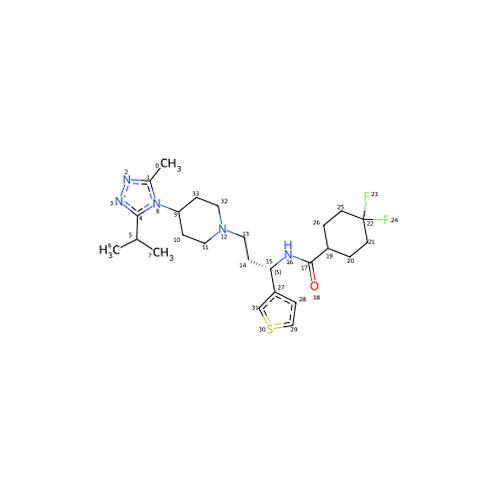 Cc1nnc(C(C)C)n1C1CCN(CC[C@H](NC(=O)C2CCC(F)(F)CC2)c2ccsc2)CC1